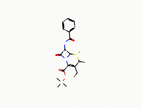 C[Si](C)(C)OC(=O)C1=C(CBr)C(Br)[S+]([O-])[C@@H]2C(NC(=O)c3ccccc3)C(=O)N12